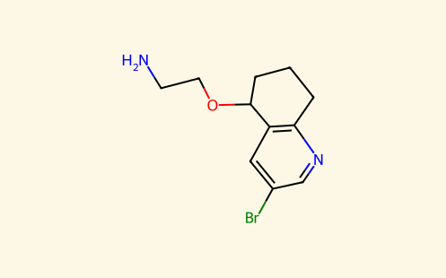 NCCOC1CCCc2ncc(Br)cc21